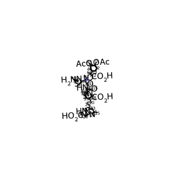 CC(=O)Oc1ccc(C(C)(O/N=C(\C(=O)N[C@@H]2C(=O)N3C(C(=O)O)=C(CSC4=CC(C)=NC5=CN(C(=O)O)NN54)CS[C@H]23)c2csc(N)n2)C(=O)O)cc1OC(C)=O